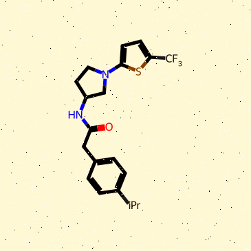 CC(C)c1ccc(CC(=O)NC2CCN(c3ccc(C(F)(F)F)s3)C2)cc1